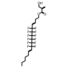 C=C(CO)C(=O)OCC/C=C/C(F)(F)C(F)(F)C(F)(F)C(F)(F)C(F)(F)C(F)(F)/C=C/CCCCC